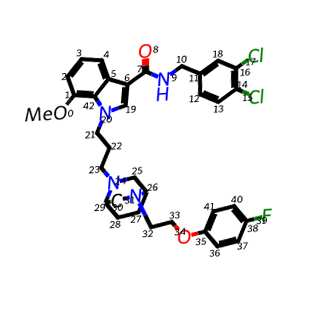 COc1cccc2c(C(=O)NCc3ccc(Cl)c(Cl)c3)cn(CCCN3CC4CCC3CN4CCOc3ccc(F)cc3)c12